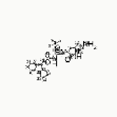 CC(C)(C)OC[C@@H](CN[C@@H](Cc1cn(N)cn1)C(=O)O)NC(=O)OCC1c2ccccc2-c2ccccc21